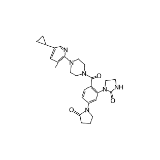 Cc1cc(C2CC2)cnc1N1CCN(C(=O)c2ccc(N3CCCC3=O)cc2N2CCNC2=O)CC1